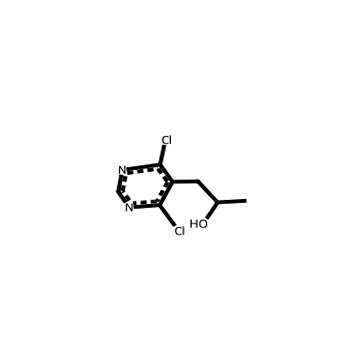 CC(O)Cc1c(Cl)ncnc1Cl